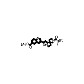 CCNC(=O)N1CCC2(CCn3nc(-c4cnc5ccc(C(=O)OC)cc5c4)cc32)C1